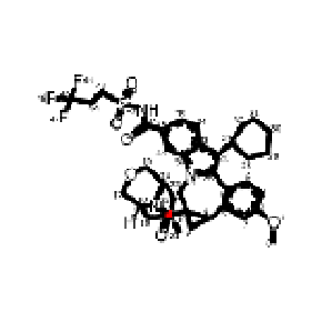 COc1ccc2c(c1)C1CC1(C(=O)N1C3COC[C@H]1CN(C)C3)Cn1c-2c(C2CCCCC2)c2ccc(C(=O)NS(=O)(=O)CCC(F)(F)F)cc21